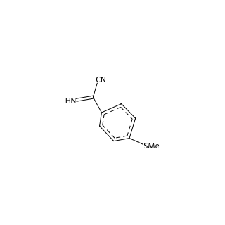 CSc1ccc(C(=N)C#N)cc1